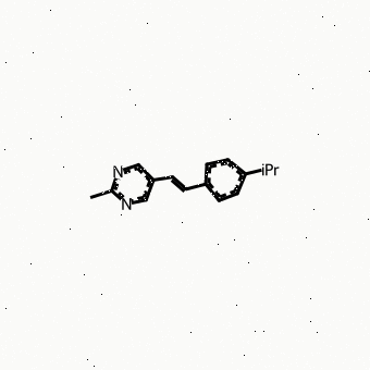 Cc1ncc(/C=C/c2ccc(C(C)C)cc2)cn1